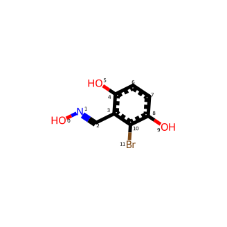 O/N=C/c1c(O)ccc(O)c1Br